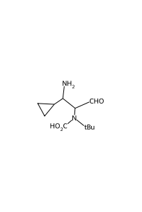 CC(C)(C)N(C(=O)O)C(C=O)C(N)C1CC1